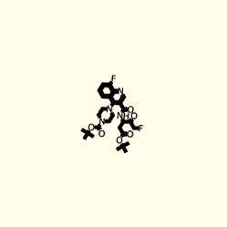 CC(C)(C)OC(=O)CC(NC(=O)c1cnc2c(F)cccc2c1N1CCN(C(=O)OC(C)(C)C)CC1)C(=O)CF